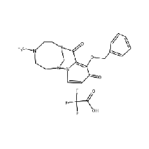 CN1CCN2CN(CC1)n1ccc(=O)c(OCc3ccccc3)c1C2=O.O=C(O)C(F)(F)F